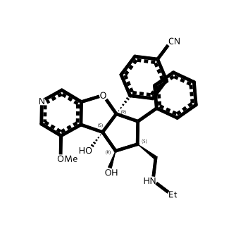 CCNC[C@@H]1C(c2ccccc2)[C@]2(c3ccc(C#N)cc3)Oc3cncc(OC)c3[C@]2(O)[C@@H]1O